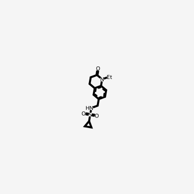 CCN1C(=O)CCc2cc(CNS(=O)(=O)C3CC3)ccc21